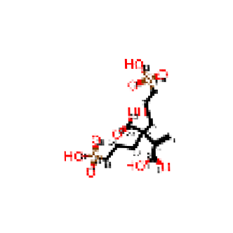 C=C(C(=O)O)C(CCCS(=O)(=O)O)(CCCS(=O)(=O)O)C(=O)O